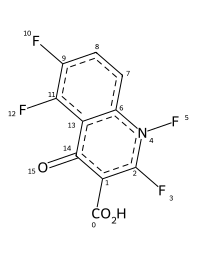 O=C(O)c1c(F)n(F)c2ccc(F)c(F)c2c1=O